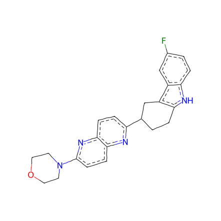 Fc1ccc2[nH]c3c(c2c1)CC(c1ccc2nc(N4CCOCC4)ccc2n1)CC3